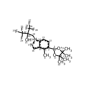 Cc1c(B2OC(C)(C)C(C)(C)O2)ccc2c1cnn2CC(O)(C(F)(F)F)C(F)(F)F